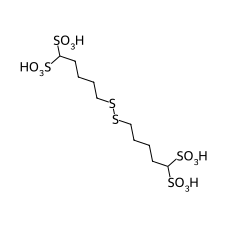 O=S(=O)(O)C(CCCCSSCCCCC(S(=O)(=O)O)S(=O)(=O)O)S(=O)(=O)O